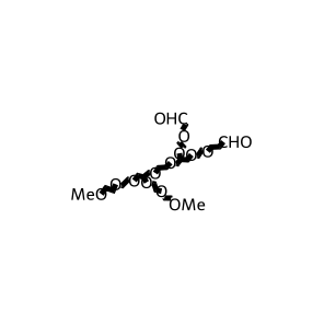 COCCOCCOCC(COCCOCC(COCCOCCC=O)OCCOCCC=O)OCCOCCOC